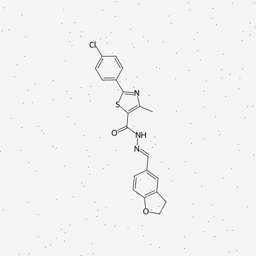 Cc1nc(-c2ccc(Cl)cc2)sc1C(=O)N/N=C/c1ccc2c(c1)CCO2